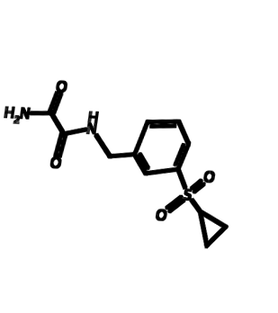 NC(=O)C(=O)NCc1cccc(S(=O)(=O)C2CC2)c1